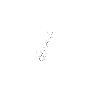 COC(=O)/C=C/C=CCCC(=O)Nc1ccccc1